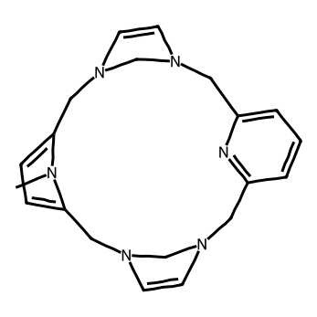 Cn1c2ccc1CN1C=CN(Cc3cccc(n3)CN3C=CN(C2)C3)C1